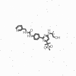 C[C@@H](CO)Nc1cc(C(C)(C)S(C)(=O)=O)nc(-c2ccc(NC(=O)NCc3cccnc3)cc2)n1